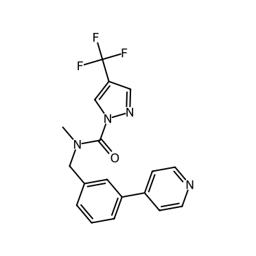 CN(Cc1cccc(-c2ccncc2)c1)C(=O)n1cc(C(F)(F)F)cn1